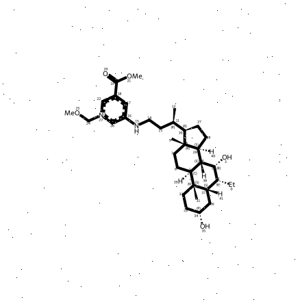 CC[C@H]1[C@@H](O)[C@@H]2[C@H](CC[C@]3(C)[C@@H]([C@H](C)CCNc4cc(C(=O)OC)c[n+](COC)c4)CC[C@@H]23)[C@@]2(C)CC[C@@H](O)C[C@@H]12